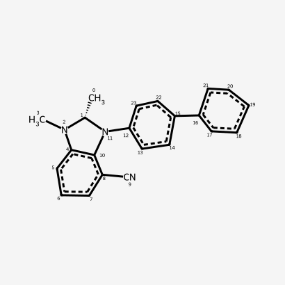 C[C@H]1N(C)c2cccc(C#N)c2N1c1ccc(-c2ccccc2)cc1